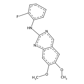 COc1cc2cnc(Nc3ccccc3F)nc2cc1OC